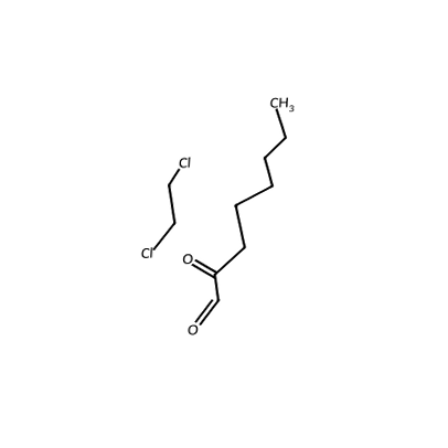 CCCCCCC(=O)C=O.ClCCCl